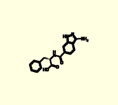 Nc1n[nH]c2cc(C(=O)N[C@@H](Cc3ccccc3)C(=O)O)ccc12